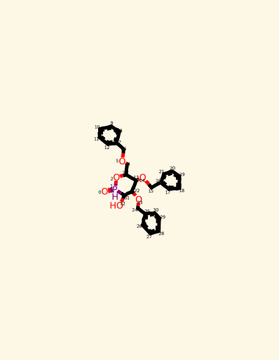 O=[PH]1OC(COCc2ccccc2)C(OCc2ccccc2)C(OCc2ccccc2)C1O